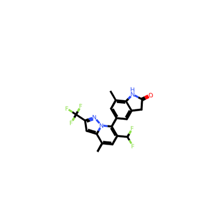 Cc1cc(-c2c(C(F)F)cc(C)c3cc(C(F)(F)F)nn23)cc2c1NC(=O)C2